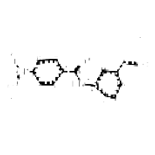 O=Cc1cccc(NC(=O)c2ccc([N+](=O)[O-])cc2)c1